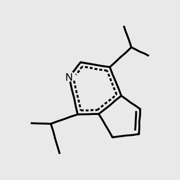 CC(C)c1cnc(C(C)C)c2c1C=CC2